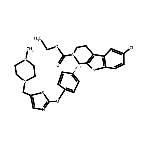 CCOC(=O)N1CCc2c([nH]c3ccc(Cl)cc23)[C@@H]1c1ccc(Oc2ncc(CN3CCN(C)CC3)s2)cc1